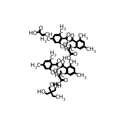 C=CC(=O)O.CCC(CO)(CO)CO.Cc1cc(C)c(C(=O)P(=O)(CCC(=O)O)C(=O)c2c(C)cc(C)cc2C)c(C)c1.Cc1cc(C)c(C(=O)P(=O)(CCC(=O)O)C(=O)c2c(C)cc(C)cc2C)c(C)c1